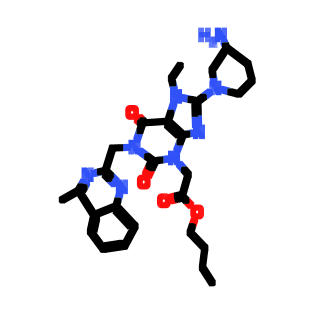 CCCCOC(=O)Cn1c(=O)n(Cc2nc(C)c3ccccc3n2)c(=O)c2c1nc(N1CCCC(N)C1)n2CC